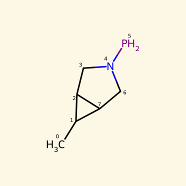 CC1C2CN(P)CC12